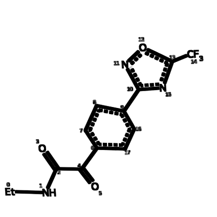 CCNC(=O)C(=O)c1ccc(-c2noc(C(F)(F)F)n2)cc1